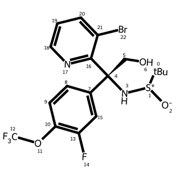 CC(C)(C)[S+]([O-])N[C@](CO)(c1ccc(OC(F)(F)F)c(F)c1)c1ncccc1Br